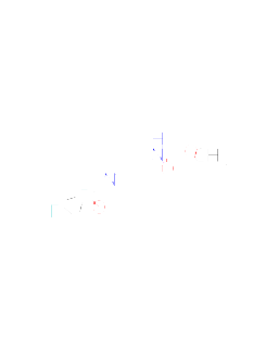 COCCC(=O)N[C@H]1CC[C@H](CCN2CCC(F)(C(=O)c3ccc(F)cc3)CC2)CC1